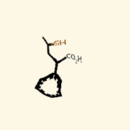 CC(S)CC(C(=O)O)c1ccccc1